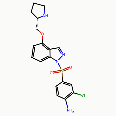 Nc1ccc(S(=O)(=O)n2ncc3c(OC[C@@H]4CCCN4)cccc32)cc1Cl